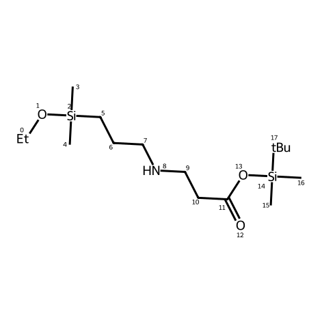 CCO[Si](C)(C)CCCNCCC(=O)O[Si](C)(C)C(C)(C)C